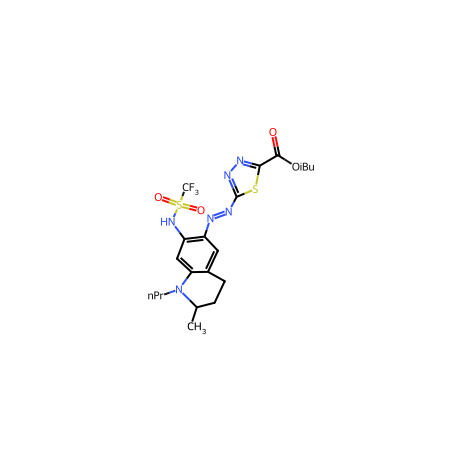 CCCN1c2cc(NS(=O)(=O)C(F)(F)F)c(N=Nc3nnc(C(=O)OCC(C)C)s3)cc2CCC1C